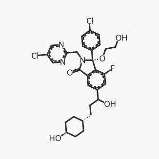 O=C1c2cc(C(O)CC[C@H]3CC[C@H](O)CC3)cc(F)c2[C@](OCCO)(c2ccc(Cl)cc2)N1Cc1ncc(Cl)cn1